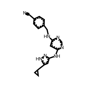 N#Cc1ccc(CNc2cc(Nc3cc(C4CC4)[nH]n3)ncn2)cc1